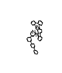 c1ccc(-c2ccc(-c3cccc(-c4ccnc(-n5c6ccccc6c6ccc7c(cc8c9ccccc9c9ccccc9n87)c65)c4)c3)cc2)cc1